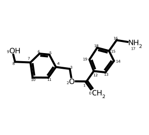 C=C(OCc1ccc(CO)cc1)c1ccc(CN)cc1